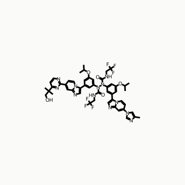 Cc1cn(-c2ccn3c(-c4cc(OC(C)C)cc(N(C(=O)NCC(F)(F)F)N(C(=O)NCC(F)(F)F)c5cc(OC(C)C)cc(-c6cnc7cc(-c8nccc(C(C)(C)CO)n8)ccn67)c5)c4)cnc3c2)cn1